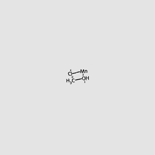 CO.[Cl][Mn]